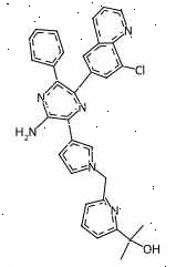 CC(C)(O)c1cccc(Cn2ccc(-c3nc(-c4cc(Cl)c5ncccc5c4)c(-c4ccccc4)nc3N)c2)n1